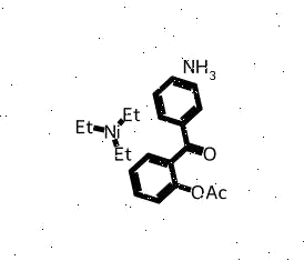 CC(=O)Oc1ccccc1C(=O)c1ccccc1.C[CH2][Ni]([CH2]C)[CH2]C.N